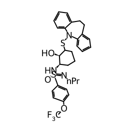 CCCN=S(=O)(N[C@@H]1CCCC(SN2c3ccccc3CCc3ccccc32)[C@@H]1O)c1ccc(OC(F)(F)F)cc1